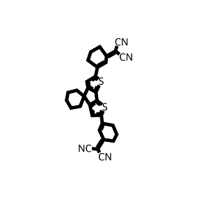 N#CC(C#N)=C1C=C(c2cc3c(s2)-c2sc(C4=CC(=C(C#N)C#N)CCC4)cc2C32CCCCC2)CCC1